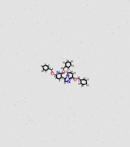 c1ccc(COc2ccc(-c3cnc4c(OCc5ccccc5)cccn34)c(OCc3ccccc3)n2)cc1